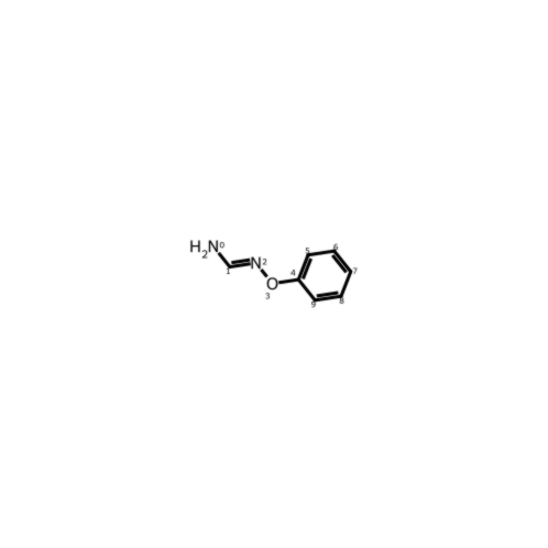 NC=NOc1ccccc1